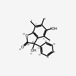 Cc1c(C)c2c(c(C)c1O)C(O)(c1ccccc1)C(=O)O2